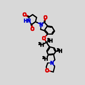 [2H]c1cc(C([2H])([2H])Oc2cccc3c2CN(C2CCC(=O)NC2=O)C3=O)cc([2H])c1CN1CCOCC1